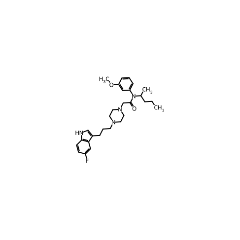 CCCC(C)N(C(=O)CN1CCN(CCCc2c[nH]c3ccc(F)cc23)CC1)c1cccc(OC)c1